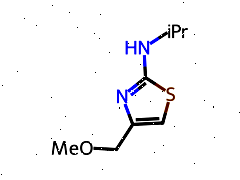 COCc1csc(NC(C)C)n1